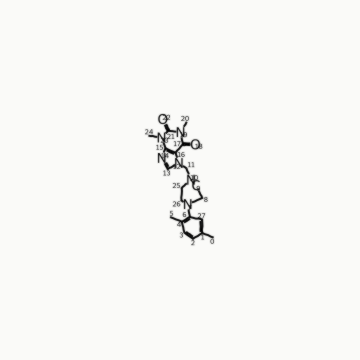 Cc1ccc(C)c(N2CCN(Cn3cnc4c3c(=O)n(C)c(=O)n4C)CC2)c1